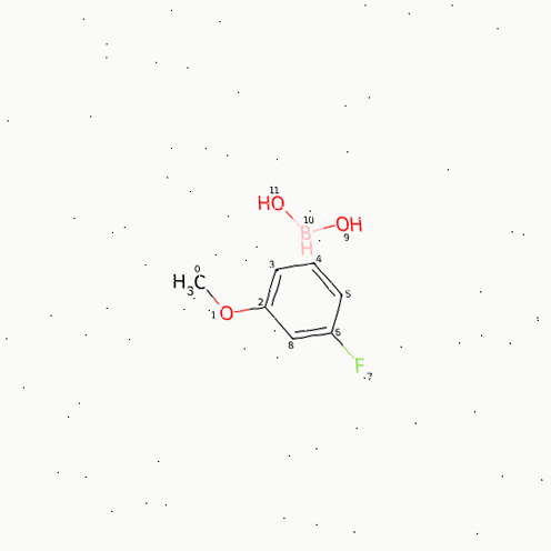 COc1cccc(F)c1.OBO